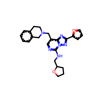 c1coc(-c2nc3c(CN4CCc5ccccc5C4)cnc(NCC4CCCO4)n3n2)c1